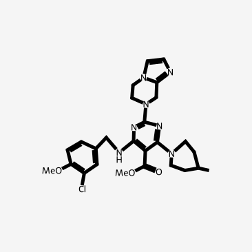 COC(=O)c1c(NCc2ccc(OC)c(Cl)c2)nc(N2CCn3ccnc3C2)nc1N1CCC(C)CC1